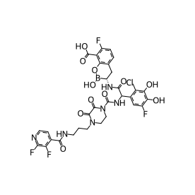 O=C(NCCCN1CCN(C(=O)NC(C(=O)N[C@H]2Cc3ccc(F)c(C(=O)O)c3OB2O)c2cc(F)c(O)c(O)c2Cl)C(=O)C1=O)c1ccnc(F)c1F